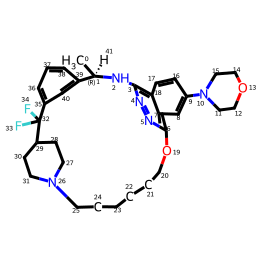 C[C@H]1Nc2nnc(c3cc(N4CCOCC4)ccc23)OCCCCCCN2CCC(CC2)C(F)(F)c2cccc1c2